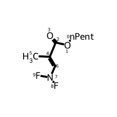 CCCCCOC(=O)C(C)=CN(F)F